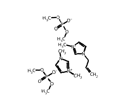 C=CCn1cc[n+](C)c1.COP(=O)([O-])OC.COP(=O)([O-])OC.Cn1cc[n+](C)c1